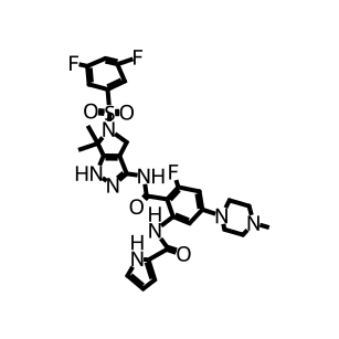 CN1CCN(c2cc(F)c(C(=O)Nc3n[nH]c4c3CN(S(=O)(=O)c3cc(F)cc(F)c3)C4(C)C)c(NC(=O)c3ccc[nH]3)c2)CC1